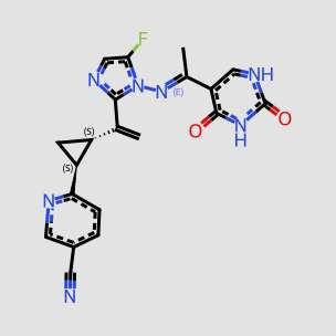 C=C(c1ncc(F)n1/N=C(\C)c1c[nH]c(=O)[nH]c1=O)[C@H]1C[C@@H]1c1ccc(C#N)cn1